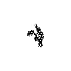 O=C(NCc1cccc(C(F)(F)F)c1)c1ccnc(-c2cc(N3CCCCC3)ccc2NC(=O)c2cccc(Cn3cc(CCO)nn3)c2)c1